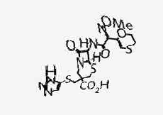 CON=C(C(=O)NC1C(=O)N2CC(CSc3cnn[nH]3)(C(=O)O)CS[C@H]12)C1=CSCCO1